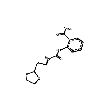 COC(=O)c1ccccc1NC(=O)NCCC1OCCO1